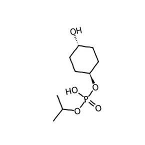 CC(C)OP(=O)(O)O[C@H]1CC[C@H](O)CC1